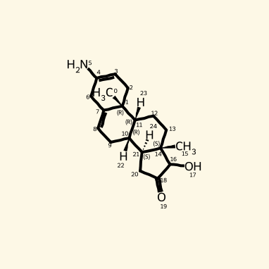 C[C@]12CC=C(N)CC1=CC[C@@H]1[C@H]2CC[C@]2(C)C(O)C(=O)C[C@@H]12